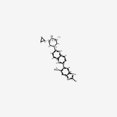 Cc1nc2cc(O)c(-c3ccc4nc(N5C[C@@H](C)N[C@@H](C6CC6)C5)ccc4n3)cc2o1